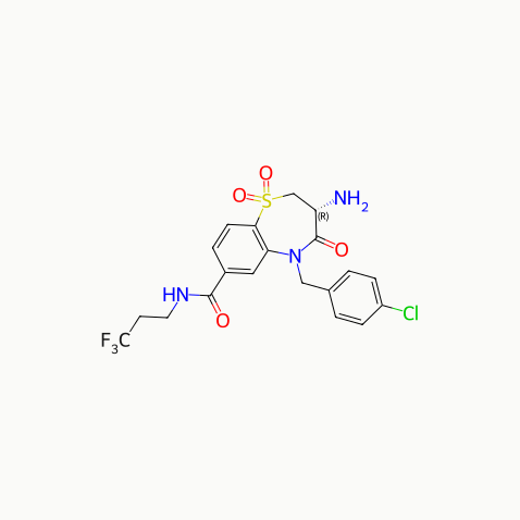 N[C@H]1CS(=O)(=O)c2ccc(C(=O)NCCC(F)(F)F)cc2N(Cc2ccc(Cl)cc2)C1=O